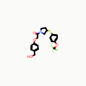 O=C(COc1ccc(CO)cc1)N1CCC(Sc2ccc(OC(F)(F)F)cc2)C1